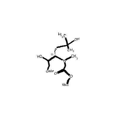 COC(O)[C@H](CC(C)(C)O)N(C)C(=O)OC(C)(C)C